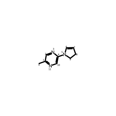 Cc1cnc(N2C=CCC2)cn1